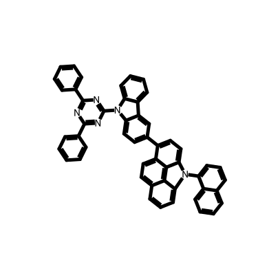 c1ccc(-c2nc(-c3ccccc3)nc(-n3c4ccccc4c4cc(-c5ccc6c7c5ccc5cccc(c57)n6-c5cccc6ccccc56)ccc43)n2)cc1